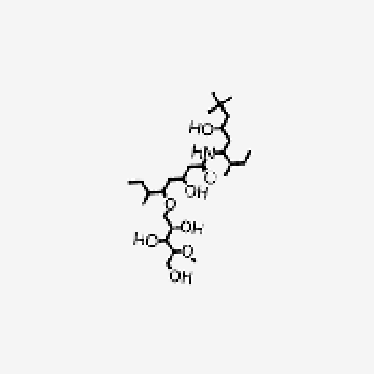 CCC(C)C(CC(O)CC(C)(C)C)NC(=O)CC(O)CC(OC[C@@H](O)C(O)C(CO)OC)C(C)CC